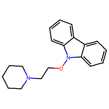 c1ccc2c(c1)c1ccccc1n2OCCN1CCCCC1